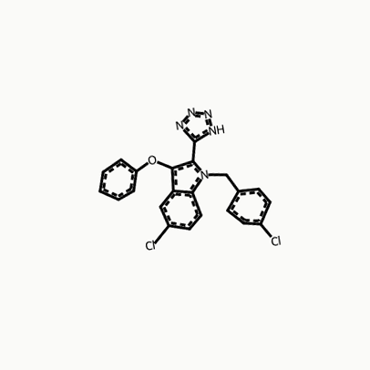 Clc1ccc(Cn2c(-c3nnn[nH]3)c(Oc3ccccc3)c3cc(Cl)ccc32)cc1